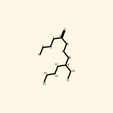 C=C(CCCC)CCCC(CC)CCCC